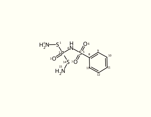 NSP(=O)(NS(=O)(=O)c1ccccc1)SN